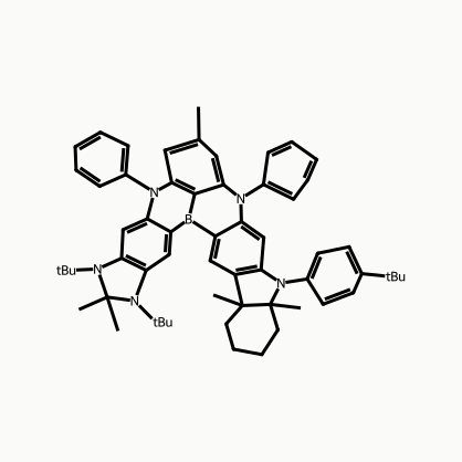 Cc1cc2c3c(c1)N(c1ccccc1)c1cc4c(cc1B3c1cc3c(cc1N2c1ccccc1)N(C(C)(C)C)C(C)(C)N3C(C)(C)C)C1(C)CCCCC1(C)N4c1ccc(C(C)(C)C)cc1